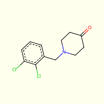 O=C1CCN(Cc2cccc(Cl)c2Cl)CC1